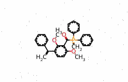 C=C(c1ccccc1)c1ccc(OC)c(C(=O)P(=C)(c2ccccc2)c2ccccc2)c1OC